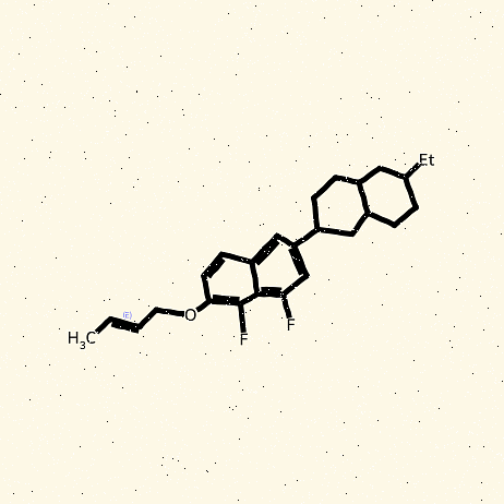 C/C=C/COc1ccc2cc(C3CCC4CC(CC)CCC4C3)cc(F)c2c1F